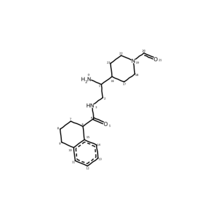 NC(CNC(=O)C1CCCc2ccccc21)C1CCN(C=O)CC1